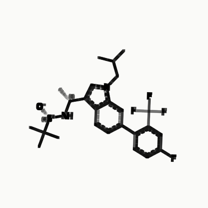 CC(C)Cn1cc([C@@H](C)N[S@@+]([O-])C(C)(C)C)c2ccc(-c3ccc(F)cc3C(F)(F)F)cc21